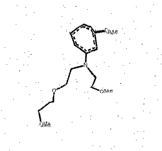 COCCOCCN(CCOC)c1cccc(OC)c1